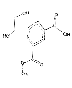 COC(=O)c1cccc(C(=O)O)c1.OCCO